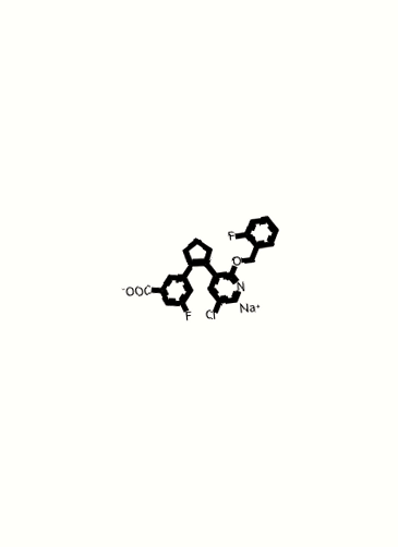 O=C([O-])c1cc(F)cc(C2=C(c3cc(Cl)cnc3OCc3ccccc3F)CCC2)c1.[Na+]